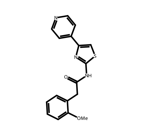 COc1ccccc1CC(=O)Nc1nc(-c2ccncc2)cs1